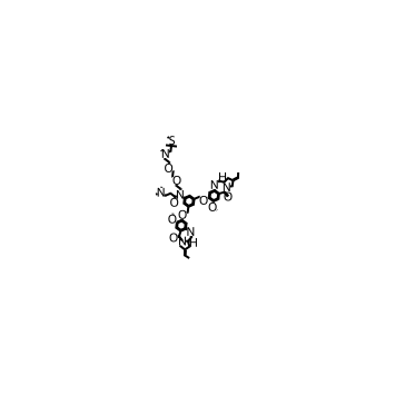 C/C=C1\C[C@H]2C=Nc3cc(OCc4cc(COc5cc6c(cc5OC)C(=O)N5C/C(=C/C)C[C@H]5C=N6)cc(N(CCOCCOCCN(C)CC(C)(C)SC)C(=O)CCN(C)C)c4)c(OC)cc3C(=O)N2C1